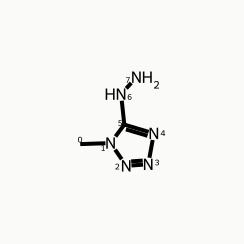 Cn1nnnc1NN